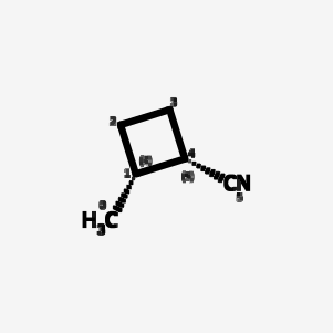 C[C@@H]1CC[C@@H]1C#N